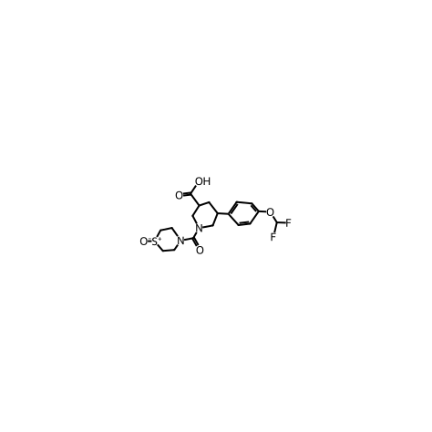 O=C(O)C1CC(c2ccc(OC(F)F)cc2)CN(C(=O)N2CC[S+]([O-])CC2)C1